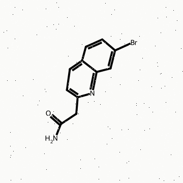 NC(=O)[CH]c1ccc2ccc(Br)cc2n1